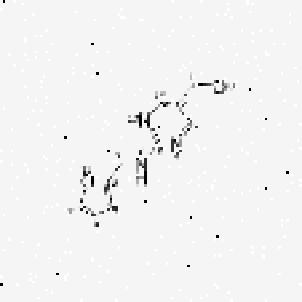 O=Cc1cnc(NCc2ccco2)nc1